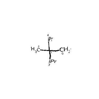 [CH2]C(C)(C(C)C)C(C)C